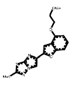 COCCOc1cccc2oc(-c3cn4nc(SC)sc4n3)cc12